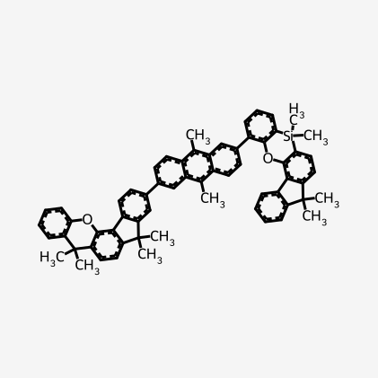 Cc1c2ccc(-c3cccc4c3Oc3c(ccc5c3-c3ccccc3C5(C)C)[Si]4(C)C)cc2c(C)c2ccc(-c3ccc4c(c3)C(C)(C)c3ccc5c(c3-4)Oc3ccccc3C5(C)C)cc12